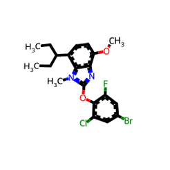 CCC(CC)c1ccc(OC)c2nc(Oc3c(F)cc(Br)cc3Cl)n(C)c12